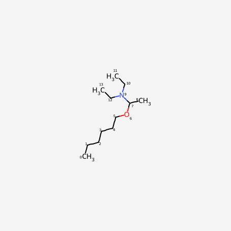 CCCCCCOC(C)N(CC)CC